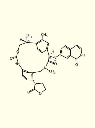 Cc1cc2ccc1[C@@H](C)COC(=O)Nc1ccc(N3CCOC3=O)c(c1)CN(C)C(=O)[C@@H]2Nc1ccc2cc[nH]c(=O)c2c1